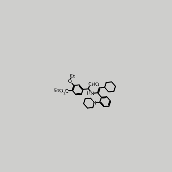 CCOC(=O)c1ccc(C(C=O)NC(=CC2CCCCC2)c2ccccc2N2CCCCC2)cc1OCC